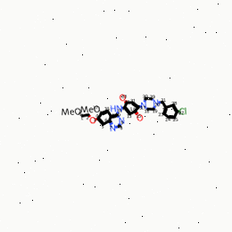 COCCOc1cc2ncnc(NC3=CC(=O)C(N4CCN(Cc5cccc(Cl)c5)CC4)=CC3=O)c2cc1OC